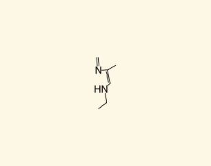 C=N/C(C)=C\NCC